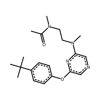 CC(=O)N(C)CCN(C)c1cncc(Oc2ccc(C(C)(C)C)cc2)n1